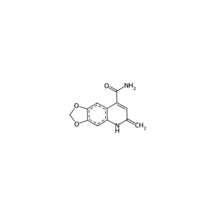 C=C1C=C(C(N)=O)c2cc3c(cc2N1)OCO3